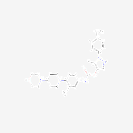 COc1ccc(-n2ncc(OC(=O)Nc3ccc(N4CCC(N5CCOCC5)CC4)c(C#N)c3)c2C)cc1